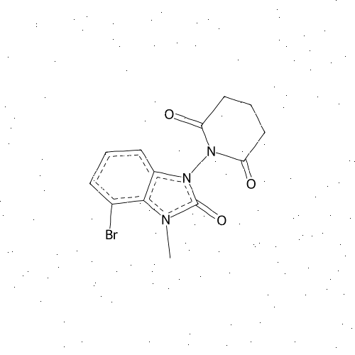 Cn1c(=O)n(N2C(=O)CCCC2=O)c2cccc(Br)c21